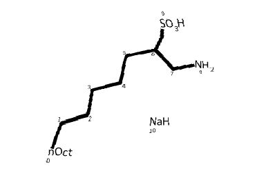 CCCCCCCCCCCCCC(CN)S(=O)(=O)O.[NaH]